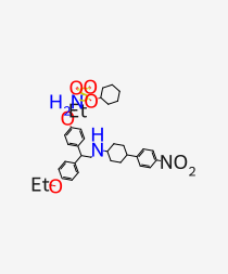 CCOc1ccc(C(CNC2CCC(c3ccc([N+](=O)[O-])cc3)CC2)c2ccc(OCC)cc2)cc1.NS(=O)(=O)OC1CCCCC1